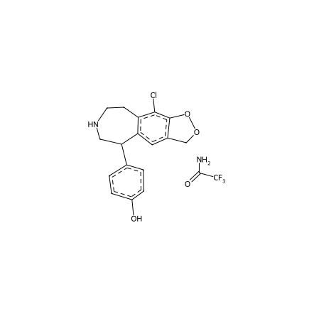 NC(=O)C(F)(F)F.Oc1ccc(C2CNCCc3c2cc2c(c3Cl)OOC2)cc1